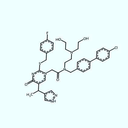 CC(c1cn[nH]c1)c1cn(CC(=O)N(CCN(CCO)CCO)Cc2ccc(-c3ccc(Cl)cc3)cc2)c(SCc2ccc(F)cc2)nc1=O